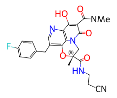 CNC(=O)c1c(O)c2ncc(Cc3ccc(F)cc3)c3c2n(c1=O)C[C@](C)(C(=O)NCCC#N)O3